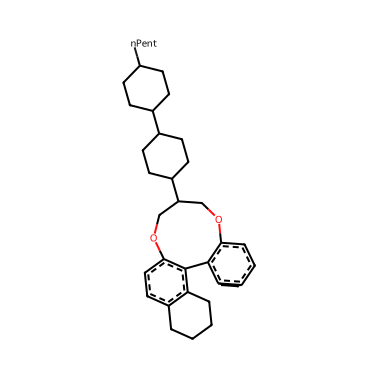 CCCCCC1CCC(C2CCC(C3COc4ccc5c(c4-c4c(ccc6c4CCCC6)OC3)CCCC5)CC2)CC1